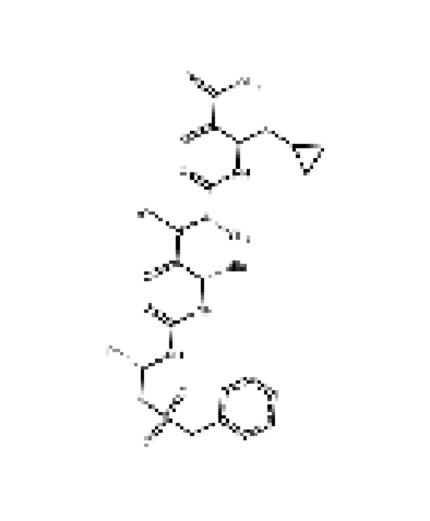 CCCN(C(=O)[C@@H](NC(=O)N[C@H](CS(=O)(=O)Cc1ccccc1)C(C)C)C(C)(C)C)[C@@H](C)C(=O)NC(CC1CC1)C(=O)C(N)=O